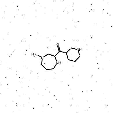 CN1CCCNC(C(=O)C2CCCNC2)C1